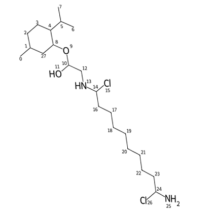 CC1CCC(C(C)C)C(OC(O)CNC(Cl)CCCCCCCCC(N)Cl)C1